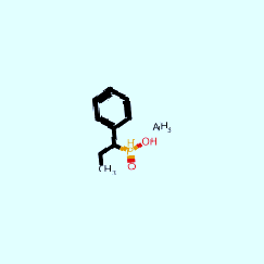 CCC(c1ccccc1)[PH](=O)O.[AlH3]